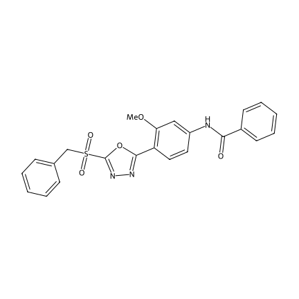 COc1cc(NC(=O)c2ccccc2)ccc1-c1nnc(S(=O)(=O)Cc2ccccc2)o1